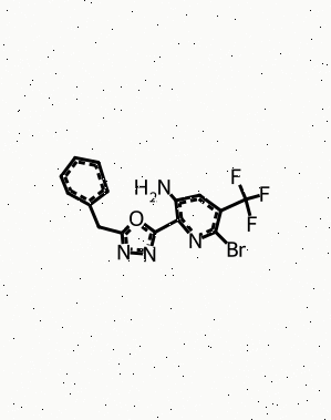 Nc1cc(C(F)(F)F)c(Br)nc1-c1nnc(Cc2ccccc2)o1